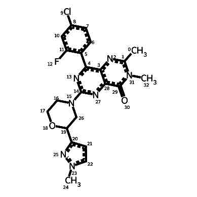 Cc1nc2c(-c3ccc(Cl)cc3F)nc(N3CCOC(c4ccn(C)n4)C3)nc2c(=O)n1C